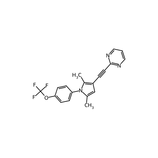 Cc1cc(C#Cc2ncccn2)c(C)n1-c1ccc(OC(F)(F)F)cc1